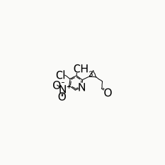 Cc1c(C2CC2CC=O)ncc([N+](=O)[O-])c1Cl